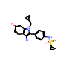 Nc1c(-c2ccc(NS(=O)(=O)C3CC3)cc2)n(CC2CC2)c2cc(O)ccc12